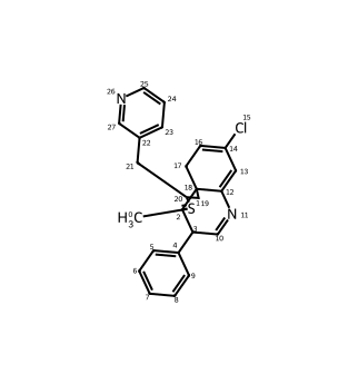 CS1=C2C(c3ccccc3)C=NC3=CC(Cl)=CCC32CC1Cc1cccnc1